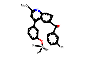 CCCc1cccc(C(=O)c2ccc3nc(OC)cc(-c4cccc(O[Si](C(C)C)(C(C)C)C(C)C)c4)c3c2)c1